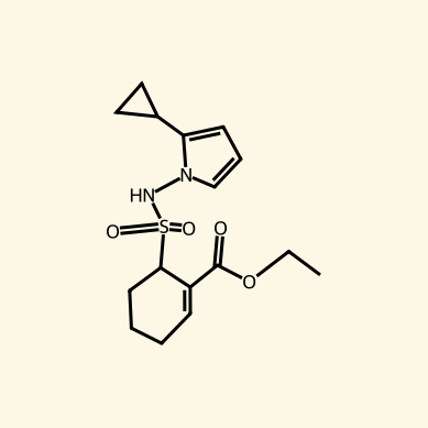 CCOC(=O)C1=CCCCC1S(=O)(=O)Nn1cccc1C1CC1